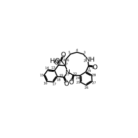 O=C1NCCCC[C@@]2(C(=O)O)C(=O)c3ccccc3C(=O)N2C(=O)c2ccccc21